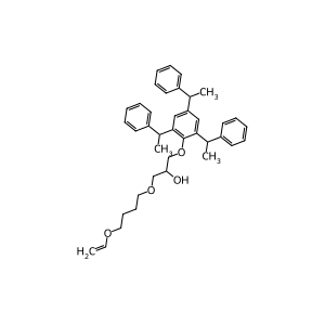 C=COCCCCOCC(O)COc1c(C(C)c2ccccc2)cc(C(C)c2ccccc2)cc1C(C)c1ccccc1